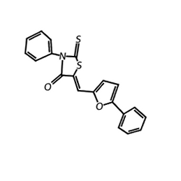 O=C1/C(=C/c2ccc(-c3ccccc3)o2)SC(=S)N1c1ccccc1